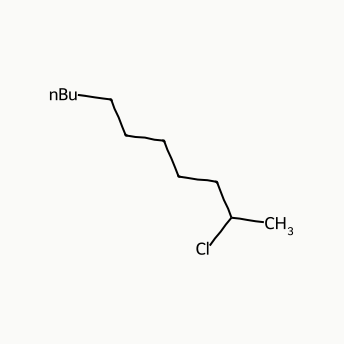 CCCCCCCCCC(C)Cl